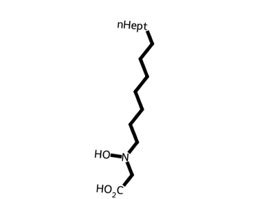 CCCCCCCCCCCCCCN(O)CC(=O)O